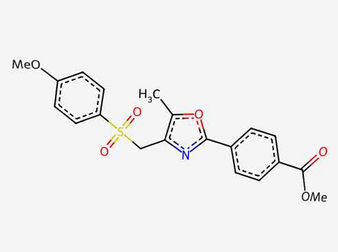 COC(=O)c1ccc(-c2nc(CS(=O)(=O)c3ccc(OC)cc3)c(C)o2)cc1